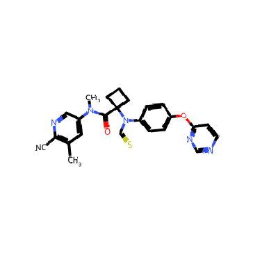 Cc1cc(N(C)C(=O)C2(N(C=S)c3ccc(Oc4ccncn4)cc3)CCC2)cnc1C#N